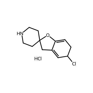 Cl.ClC1C=C2CC3(CCNCC3)OC2=CC1